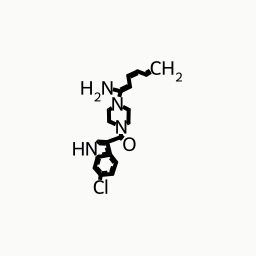 C=C/C=C\C=C(/N)N1CCN(C(=O)c2c[nH]c3cc(Cl)ccc23)CC1